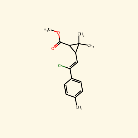 COC(=O)C1C(C=C(Cl)c2ccc(C)cc2)C1(C)C